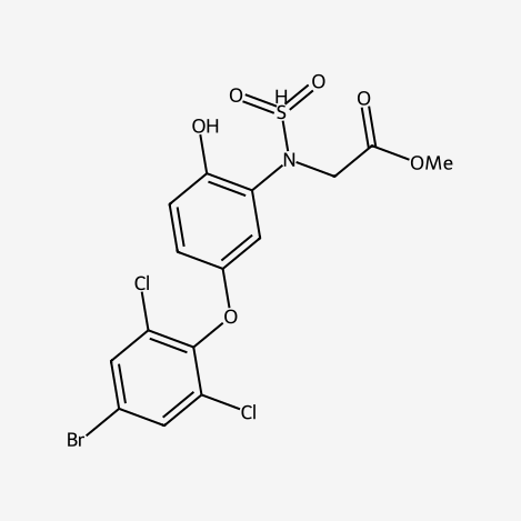 COC(=O)CN(c1cc(Oc2c(Cl)cc(Br)cc2Cl)ccc1O)[SH](=O)=O